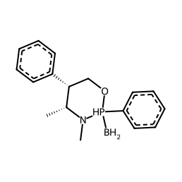 B[PH]1(c2ccccc2)OC[C@@H](c2ccccc2)[C@@H](C)N1C